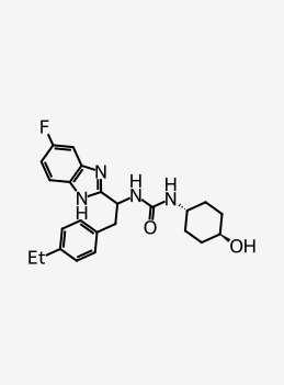 CCc1ccc(CC(NC(=O)N[C@H]2CC[C@H](O)CC2)c2nc3cc(F)ccc3[nH]2)cc1